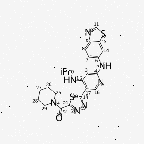 CC(C)Nc1cc(Nc2ccc3ncsc3c2)ncc1-c1nnc(C(=O)N2CCCCC2)s1